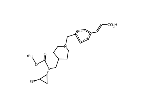 CC[C@@H]1C[C@H]1N(CC1CCN(Cc2ccc(/C=C/C(=O)O)cc2)CC1)C(=O)OC(C)(C)C